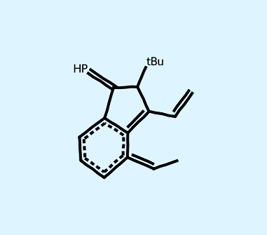 C=CC1=c2c(ccc/c2=C/C)C(=P)C1C(C)(C)C